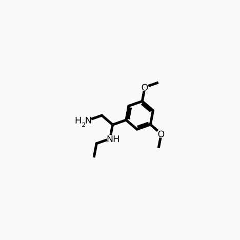 CCNC(CN)c1cc(OC)cc(OC)c1